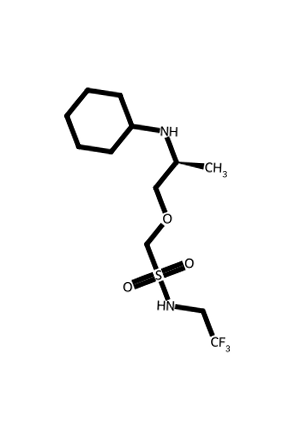 C[C@@H](COCS(=O)(=O)NCC(F)(F)F)NC1CCCCC1